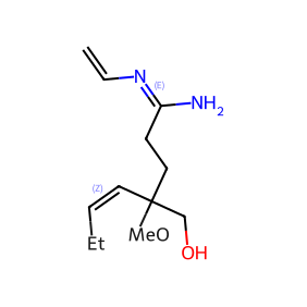 C=C/N=C(/N)CCC(/C=C\CC)(CO)OC